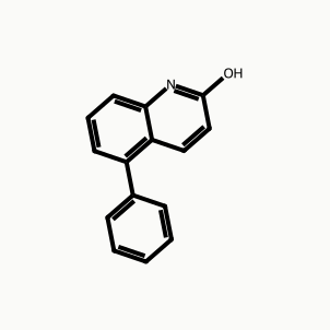 Oc1ccc2c(-c3ccccc3)cccc2n1